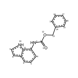 O=C(Nc1cccc2cc[nH]c12)OCc1ccccc1